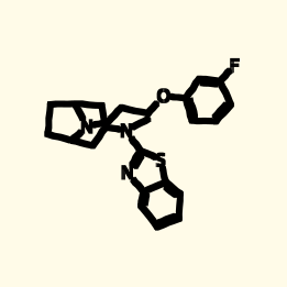 CN(c1nc2ccccc2s1)C1CC2CCC(C1)N2CCCOc1cccc(F)c1